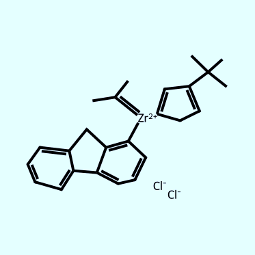 C[C](C)=[Zr+2]([C]1=CC(C(C)(C)C)=CC1)[c]1cccc2c1Cc1ccccc1-2.[Cl-].[Cl-]